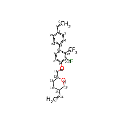 C=Cc1ccc(-c2ccc(OCC3CCC(C=C)CO3)c(F)c2C(F)(F)F)cc1